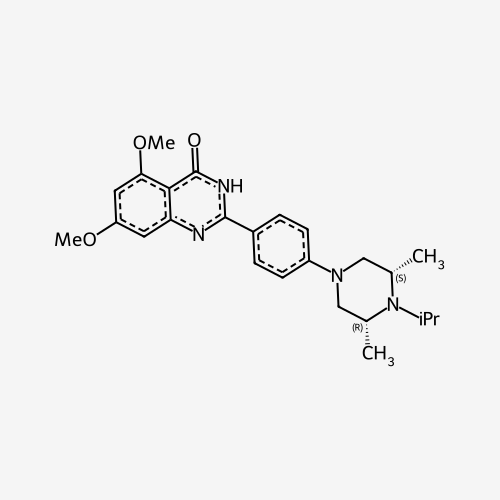 COc1cc(OC)c2c(=O)[nH]c(-c3ccc(N4C[C@@H](C)N(C(C)C)[C@@H](C)C4)cc3)nc2c1